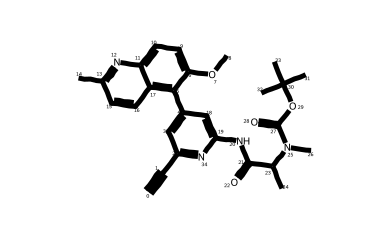 C#Cc1cc(-c2c(OC)ccc3nc(C)ccc23)cc(NC(=O)C(C)N(C)C(=O)OC(C)(C)C)n1